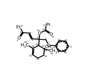 CCC(=O)C=CC(COc1ccccc1)(OC(=O)C(C)C)C1C(C)=CCCC1(C)C